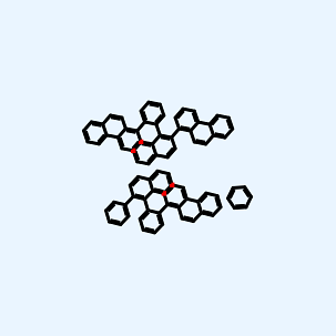 c1ccc(-c2ccc3ccccc3c2-c2ccccc2-c2cccc3c2ccc2ccccc23)cc1.c1ccc(-c2cccc3c2ccc2ccccc23)c(-c2c(-c3cccc4c3ccc3ccccc34)ccc3ccccc23)c1.c1ccccc1